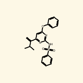 C=C(c1cc(Oc2ccccc2)nc(NS(=O)(=O)c2ccccc2)n1)C(C)C